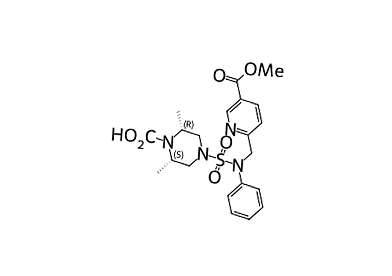 COC(=O)c1ccc(CN(c2ccccc2)S(=O)(=O)N2C[C@@H](C)N(C(=O)O)[C@@H](C)C2)nc1